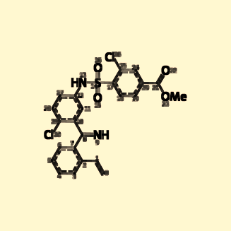 C=Cc1ccccc1C(=N)c1cc(NS(=O)(=O)c2ccc(C(=O)OC)cc2Cl)ccc1Cl